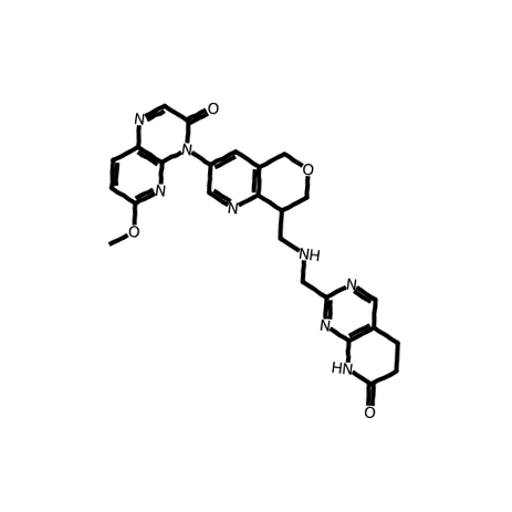 COc1ccc2ncc(=O)n(-c3cnc4c(c3)COCC4CNCc3ncc4c(n3)NC(=O)CC4)c2n1